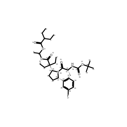 CCC(CC)C(=O)OC(C)OC(=O)C(CC)(CC)[C@H]1CC[C@@H](c2cccc(F)c2)N1C(=O)[C@@H](C)NC(=O)OC(C)(C)C